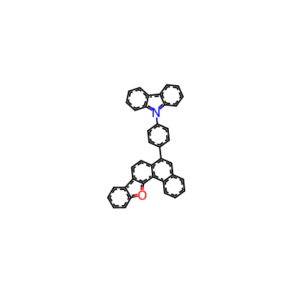 c1ccc2c(c1)cc(-c1ccc(-n3c4ccccc4c4ccccc43)cc1)c1ccc3c4ccccc4oc3c12